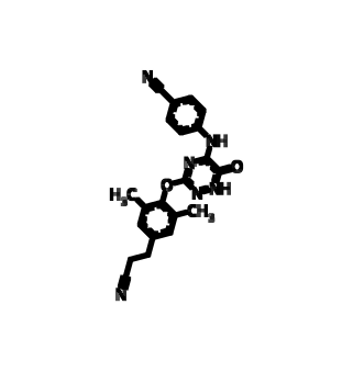 Cc1cc(CCC#N)cc(C)c1Oc1n[nH]c(=O)c(Nc2ccc(C#N)cc2)n1